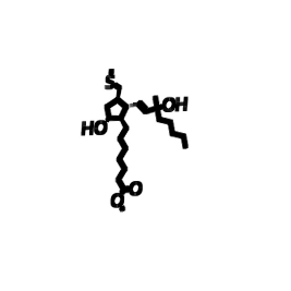 CCCCCC(C)(O)C=C[C@H]1[C@H](CSC)C[C@@H](O)[C@@H]1CCCCCCC(=O)OC